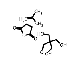 C=C(C)C.O=C1CCC(=O)O1.OCC(CO)(CO)CO